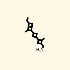 CCC1CC2C(C3CC(C4CC(CN)C4C)C3)C(C)C12